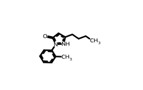 CCCCc1cc(=O)n(-c2ccccc2C)[nH]1